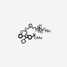 COC(=O)c1ccc2c(C3CCCCC3)c3n(c2c1)C[C@H](OCC1CCCN1CCN(C)S(=O)(=O)NC(=O)OC(C)(C)C)COc1ccccc1-3